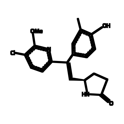 COc1nc(C(=C[C@H]2CCC(=O)N2)c2ccc(O)c(C)c2)ccc1Cl